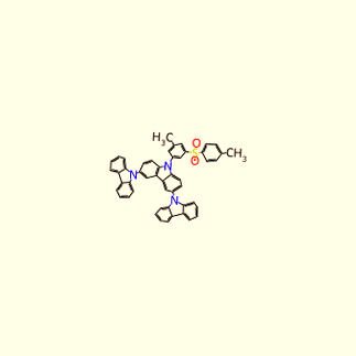 Cc1ccc(S(=O)(=O)c2cc(C)cc(-n3c4ccc(-n5c6ccccc6c6ccccc65)cc4c4cc(-n5c6ccccc6c6ccccc65)ccc43)c2)cc1